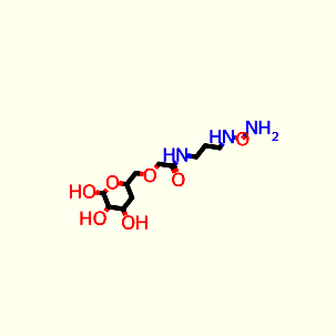 NONCCCNC(=O)COCC1CC(O)C(O)C(O)O1